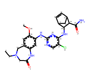 CCN1CC(=O)Nc2cc(Nc3ncc(Cl)c(NC4C5C=CC(C5)C4C(N)=O)n3)c(OC)cc2C1